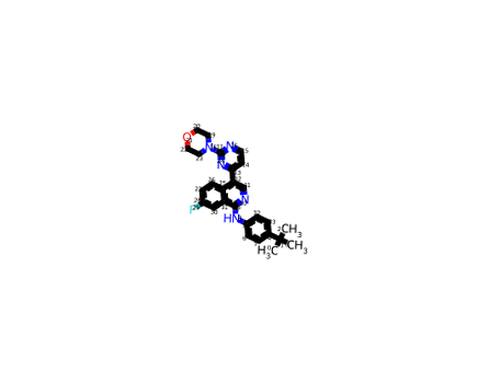 CC(C)(C)c1ccc(Nc2ncc(-c3ccnc(N4CCOCC4)n3)c3ccc(F)cc23)cc1